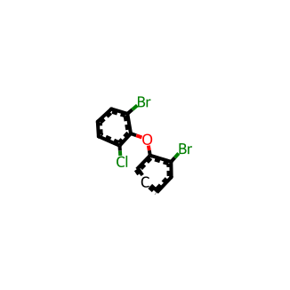 Clc1cccc(Br)c1Oc1ccccc1Br